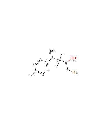 Cc1ccc(CC(C)(C)C(O)C[S-])cc1.[Na+]